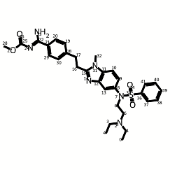 CCN(CC)CCN(c1ccc2c(c1)nc(CCc1ccc(C(N)=NC(=O)OC)cc1)n2C)S(=O)(=O)c1ccccc1